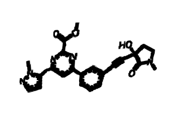 COC(=O)c1nc(-c2cccc(C#C[C@]3(O)CCN(C)C3=O)c2)cc(-c2ccnn2C)n1